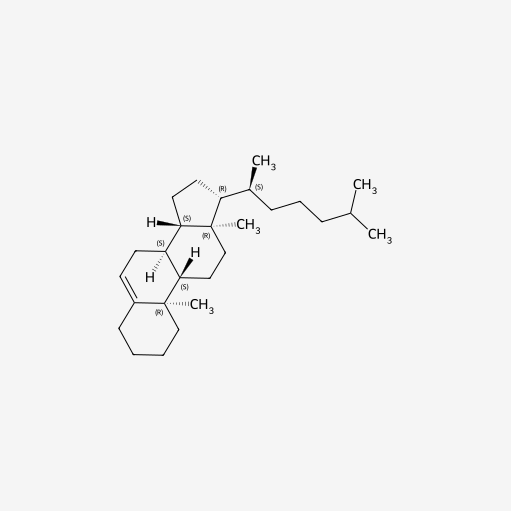 CC(C)CCC[C@H](C)[C@H]1CC[C@H]2[C@@H]3CC=C4CCCC[C@]4(C)[C@H]3CC[C@]12C